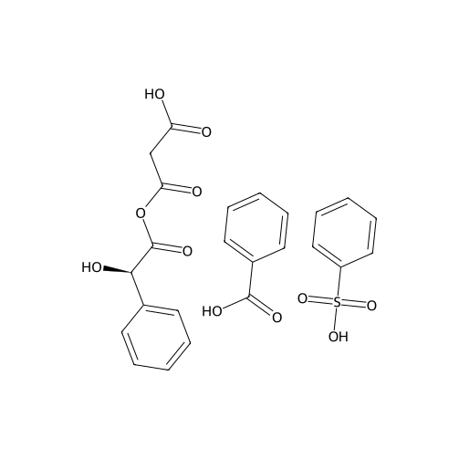 O=C(O)CC(=O)OC(=O)[C@H](O)c1ccccc1.O=C(O)c1ccccc1.O=S(=O)(O)c1ccccc1